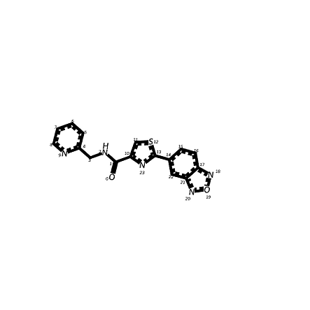 O=C(NCc1ccccn1)c1csc(-c2ccc3nonc3c2)n1